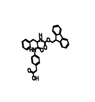 O=C(O)Cc1ccc(NC(=O)C(Cc2ccccc2)NC(=O)OCC2c3ccccc3-c3ccccc32)cc1